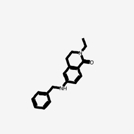 CCN1CCc2cc(NCc3ccccc3)ccc2C1=O